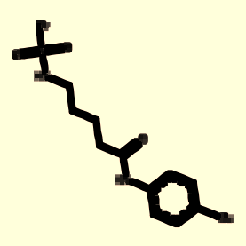 CCC(C)c1ccc(NC(=O)CCCCNS(=O)(=O)C(C)C)cc1